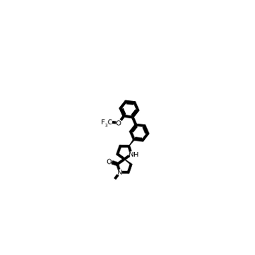 CN1CC[C@]2(CC[C@@H](c3cccc(-c4ccccc4OC(F)(F)F)c3)N2)C1=O